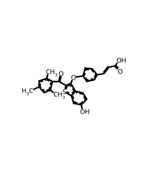 Cc1cc(C)c(C(=O)c2sc3cc(O)ccc3c2Oc2ccc(C=CC(=O)O)cc2)c(C)c1